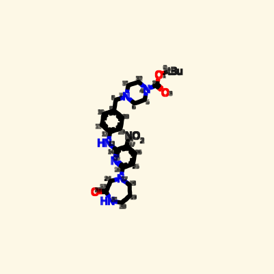 CC(C)(C)OC(=O)N1CCN(Cc2ccc(Nc3nc(N4CCCNC(=O)C4)ccc3[N+](=O)[O-])cc2)CC1